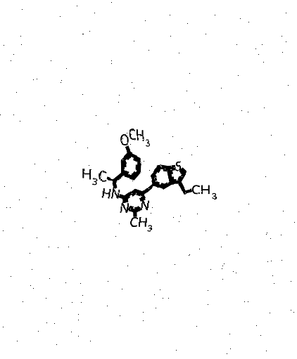 CCc1csc2ccc(-c3cc(N[C@@H](C)c4cccc(OC)c4)nc(C)n3)cc12